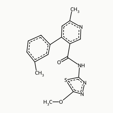 COc1nnc(NC(=O)c2cnc(C)cc2-c2cccc(C)c2)s1